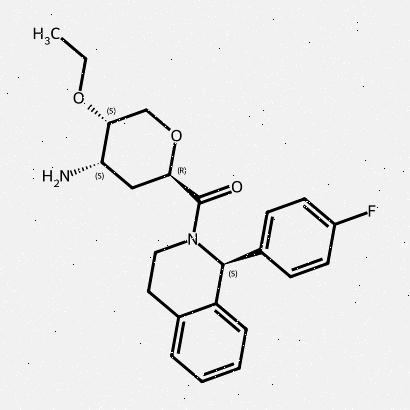 CCO[C@@H]1CO[C@@H](C(=O)N2CCc3ccccc3[C@@H]2c2ccc(F)cc2)C[C@@H]1N